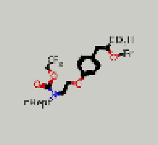 CCCCCCCN(CCOc1ccc(CC(OC(C)C)C(=O)O)cc1)C(=O)OCC(F)(F)F